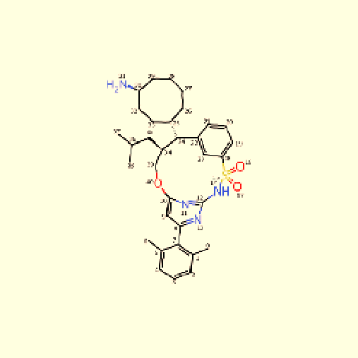 Cc1cccc(C)c1-c1cc2nc(n1)NS(=O)(=O)c1cccc(c1)C([C@H]1CCCC[C@H](N)CC1)[C@H](CC(C)C)CO2